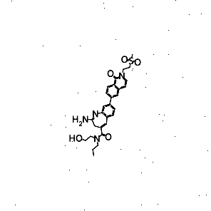 CCCN(CCO)C(=O)C1=Cc2ccc(-c3ccc4c(=O)n(CCS(C)(=O)=O)ccc4c3)cc2N=C(N)C1